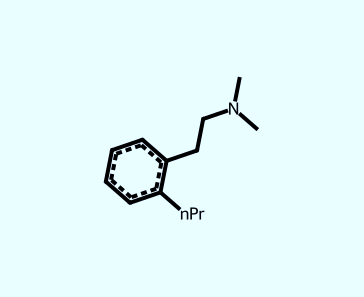 CCCc1ccccc1CCN(C)C